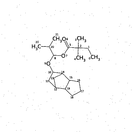 CCC(C)(C)C(=O)OC(OC1CC2CC1C1CCCC21)C(C)C